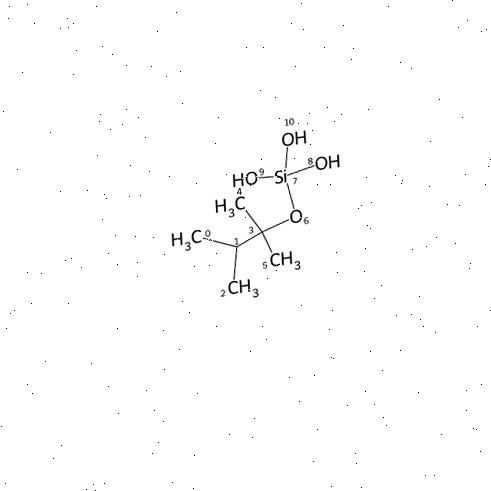 CC(C)C(C)(C)O[Si](O)(O)O